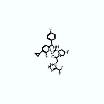 O=C(NC(c1ccc(F)cc1)c1ccc(C2CC2)c(F)n1)[C@@H]1C[C@@H](F)CN1C(=O)Cn1nnnc1C(F)F